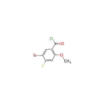 COc1cc(F)c(Br)cc1C(=O)Cl